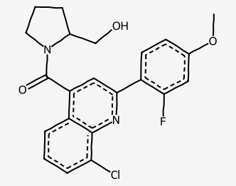 COc1ccc(-c2cc(C(=O)N3CCCC3CO)c3cccc(Cl)c3n2)c(F)c1